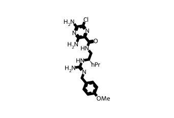 CCC[C@@H](CNC(=O)c1nc(Cl)c(N)nc1N)NC(N)=NCc1ccc(OC)cc1